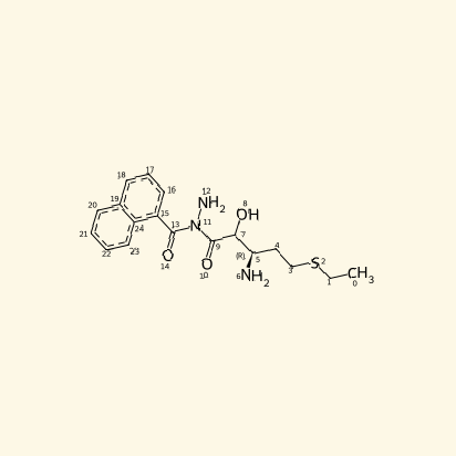 CCSCC[C@@H](N)C(O)C(=O)N(N)C(=O)c1cccc2ccccc12